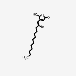 CCCCCCCCCCC/C(Br)=C/C1=CC(=O)OC1O